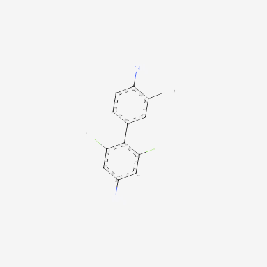 COc1cc(-c2c(F)cc(N)cc2F)ccc1N